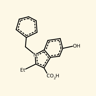 CCc1c(C(=O)O)c2cc(O)ccc2n1Cc1ccccc1